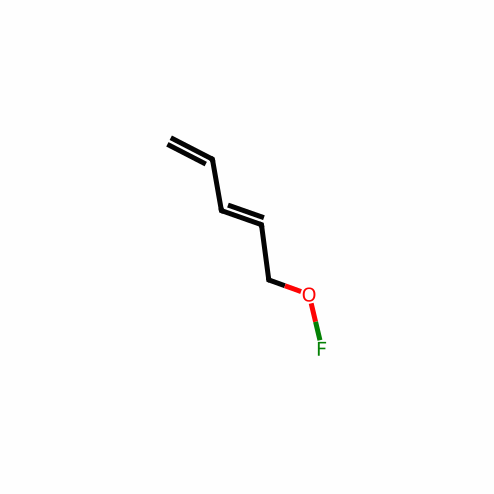 C=CC=CCOF